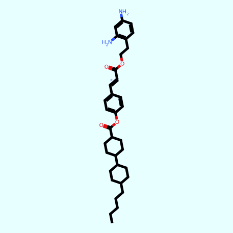 CCCCCC1CCC(C2CCC(C(=O)Oc3ccc(/C=C/C(=O)OCCc4ccc(N)cc4N)cc3)CC2)CC1